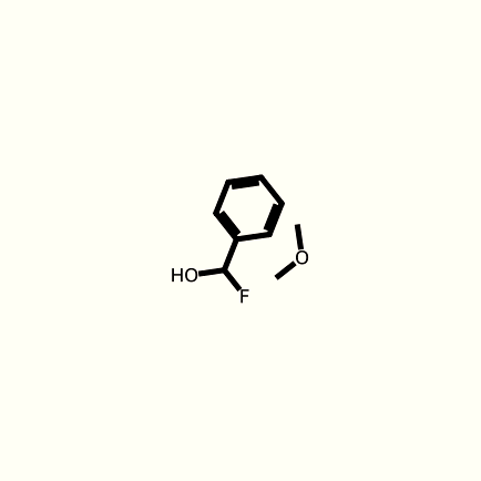 COC.OC(F)c1ccccc1